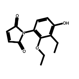 CCOc1c(N2C(=O)C=CC2=O)ccc(O)c1CC